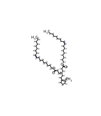 CCCCCCCC/C=C\CCCCCCCCOC(=O)CCN(CCC(=O)OCCCCCCCC/C=C\CCCCCCCC)CCC1CCCN1C